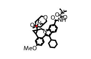 COc1ccc2c(c1)C1CC1(C(=O)N1C3COCC1CN(C)C3)Cn1c-2c(C2CCCCC2)c2ccc(C(=O)NS(=O)(=O)N(C)C)cc21